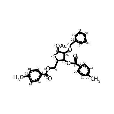 CC(=O)OC1SC(COC(=O)c2ccc(C)cc2)C(OC(=O)c2ccc(C)cc2)C1OCc1ccccc1